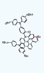 CC(C)(C)c1ccc(N(c2ccc(C(C)(C)C)cc2)c2ccc3c(c2)Oc2cc(C(C)(C)C)cc4c2B3c2ccc(N(c3ccc(C(C)(C)C)cc3)c3ccc(C(C)(C)C)cc3)cc2N4c2c(-c3ccccc3)cccc2-c2ccccc2)cc1